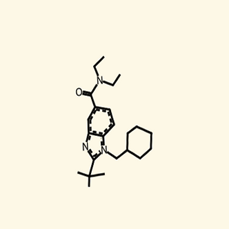 CCN(CC)C(=O)c1ccc2c(c1)nc(C(C)(C)C)n2CC1CCCCC1